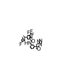 CC(c1cc(C(=O)Nc2cccc(C3(Cc4nncn4C)COC3)c2)nc(C(F)(F)F)c1)N1CC(F)C1